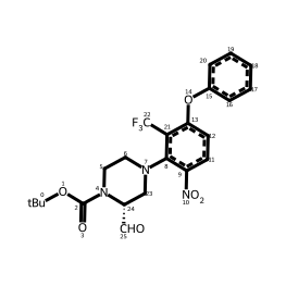 CC(C)(C)OC(=O)N1CCN(c2c([N+](=O)[O-])ccc(Oc3ccccc3)c2C(F)(F)F)C[C@@H]1C=O